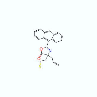 C=CCC1(CC=S)N=C(c2c3ccccc3cc3ccccc23)OC1=O